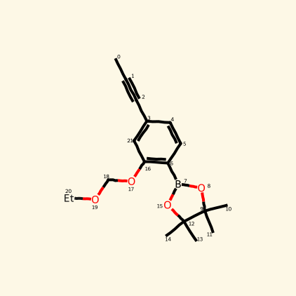 CC#Cc1ccc(B2OC(C)(C)C(C)(C)O2)c(OCOCC)c1